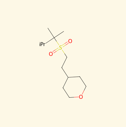 CC(C)C(C)(C)S(=O)(=O)CCC1CCOCC1